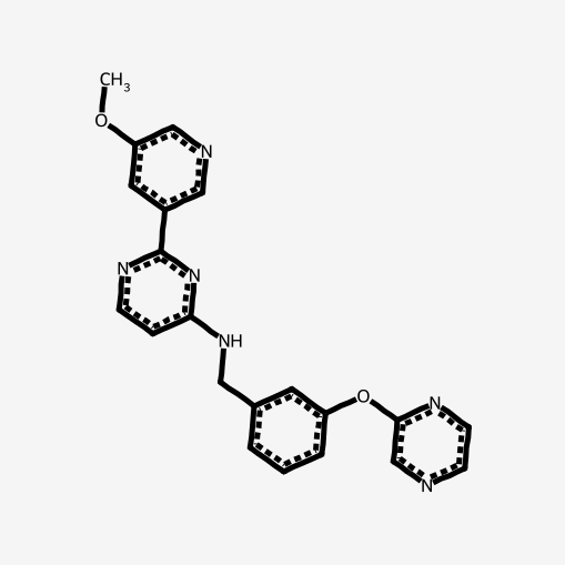 COc1cncc(-c2nccc(NCc3cccc(Oc4cnccn4)c3)n2)c1